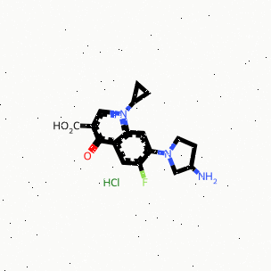 Cl.NC1CCN(c2cc3c(cc2F)c(=O)c(C(=O)O)cn3C2CC2)C1